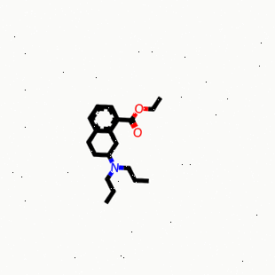 CCCN(CCC)C1CCc2cccc(C(=O)OCC)c2C1